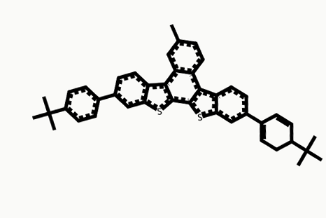 Cc1ccc2c(c1)c1c3ccc(-c4ccc(C(C)(C)C)cc4)cc3sc1c1sc3cc(C4=CCC(C(C)(C)C)C=C4)ccc3c21